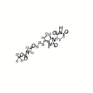 Cn1c(=O)n(C2CCC(=O)NC2=O)c2cccc(CCCOC3CN(C(=O)OC(C)(C)C)C3)c21